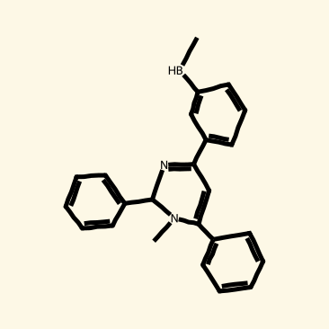 CBc1cccc(C2=NC(c3ccccc3)N(C)C(c3ccccc3)=C2)c1